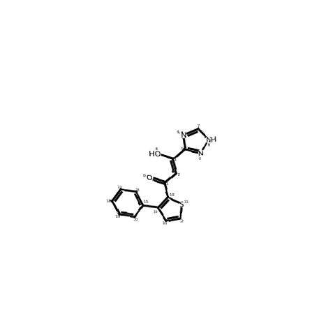 O=C(C=C(O)c1nc[nH]n1)c1sccc1-c1ccccc1